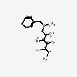 CN(CC1=CC[CH]C=C1)CC(O)C(O)C(O)C(O)CO